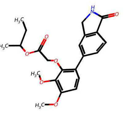 CCC(C)OC(=O)COc1c(-c2ccc3c(c2)CNC3=O)ccc(OC)c1OC